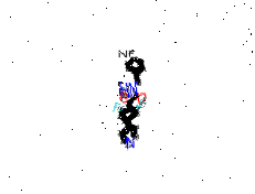 CCO[C@H](C(=O)NCc1ccc(C#N)cc1)c1c(F)cc(-c2ccncc2)cc1F